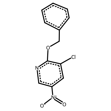 O=[N+]([O-])c1cnc(OCc2ccccc2)c(Cl)c1